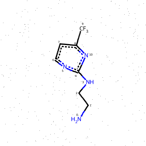 NCCNc1nccc(C(F)(F)F)n1